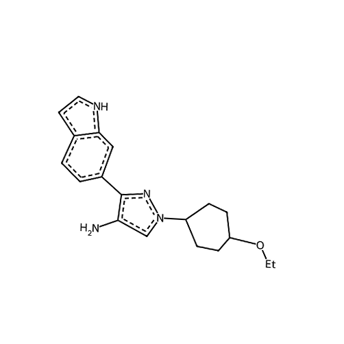 CCOC1CCC(n2cc(N)c(-c3ccc4cc[nH]c4c3)n2)CC1